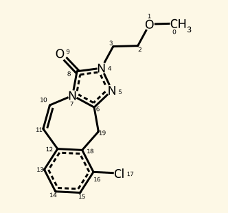 COCCn1nc2n(c1=O)C=Cc1cccc(Cl)c1C2